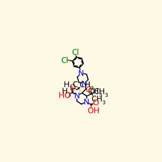 CC(C)(C)C1N(C(=O)O)CCN(C(=O)O)[C@]1(C(=O)N1CCN(c2ccc(Cl)c(Cl)c2)CC1)C(C)(C)C